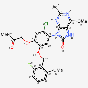 CNC(=O)COc1cc(Cl)c(-n2c(=O)[nH]c3c(OC)nc(C(C)=O)nc32)cc1OCc1c(F)cccc1OC